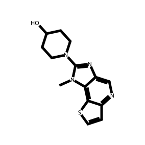 Cn1c(N2CCC(O)CC2)nc2cnc3ccsc3c21